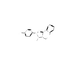 CC1C2COc3ccccc3C2=NN1c1ccc(Cl)cc1